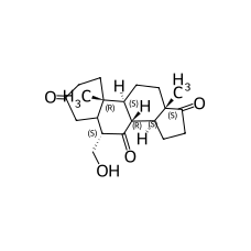 C[C@]12CCC(=O)CC1[C@@H](CO)C(=O)[C@@H]1[C@@H]2CC[C@]2(C)C(=O)CC[C@@H]12